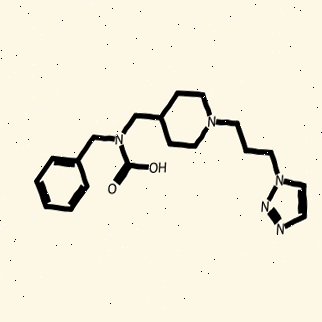 O=C(O)N(Cc1ccccc1)CC1CCN(CCCn2ccnn2)CC1